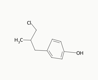 CC(CCl)Cc1ccc(O)cc1